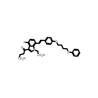 O=C(O)CCC(=O)c1cn(CC(=O)O)c2c(C=Cc3ccc(OCCCCOc4ccccc4)cc3)ccc(F)c12